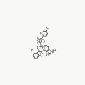 O=C(c1nnc(-c2ccc(F)cn2)o1)N1CCc2[nH]cnc2[C@H]1c1cc2c(F)cccc2o1